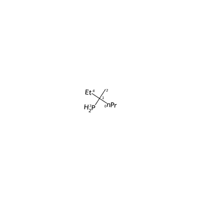 CCCC(C)(P)CC